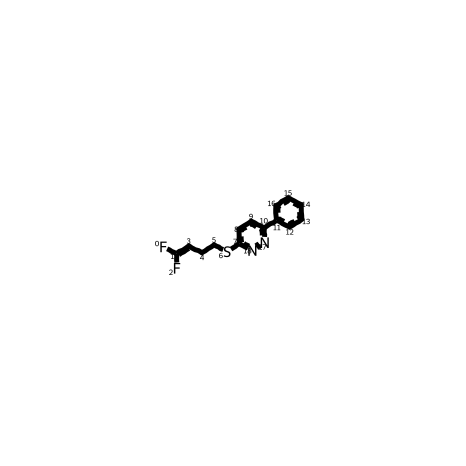 FC(F)=CCCSc1ccc(-c2ccccc2)nn1